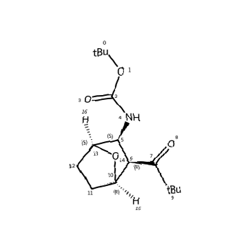 CC(C)(C)OC(=O)N[C@H]1[C@@H](C(=O)C(C)(C)C)[C@H]2CC[C@@H]1O2